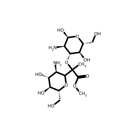 COC(=O)C(C)(O[C@@H]1[C@@H](N)[C@@H](O)O[C@H](CO)[C@H]1O)C1O[C@H](CO)[C@@H](O)[C@H](O)[C@H]1N